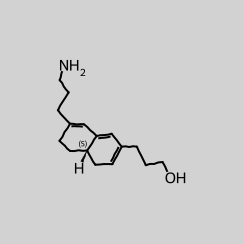 NCCCC1=CC2=CC(CCCO)=CC[C@@H]2CC1